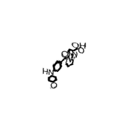 COc1ccc(Nc2ccc(C(=O)[N+]3(n4ccc(C(=O)O)n4)CCCC3)cc2)cc1